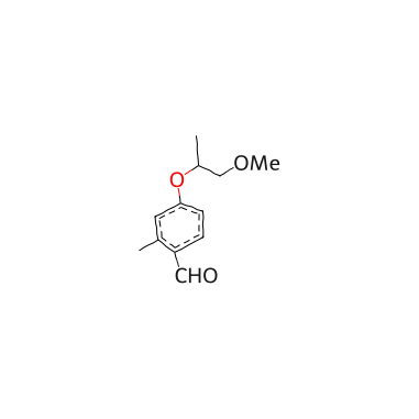 COCC(C)Oc1ccc(C=O)c(C)c1